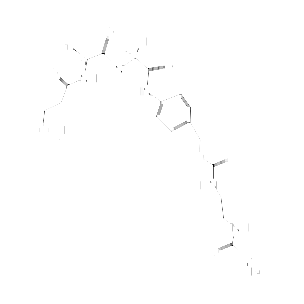 CC(C)[C@H](NC(=O)CCC(=O)O)C(=O)N[C@@H](C)C(=O)Nc1ccc(COC(=O)NCCNC(=O)OC(C)(C)C)cc1